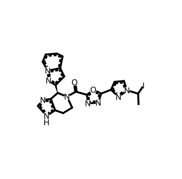 CC(I)n1ccc(-c2nnc(C(=O)N3CCc4[nH]cnc4[C@H]3c3cc4ccccn4n3)o2)n1